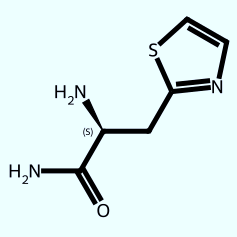 NC(=O)[C@@H](N)Cc1nccs1